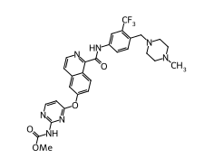 COC(=O)Nc1nccc(Oc2ccc3c(C(=O)Nc4ccc(CN5CCN(C)CC5)c(C(F)(F)F)c4)nccc3c2)n1